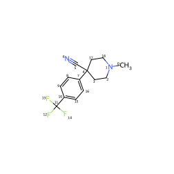 CN1CCC(C#N)(c2ccc(C(F)(F)F)cc2)CC1